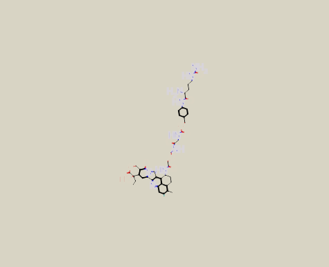 CC[C@@]1(O)C(=O)OCc2c1cc1n(c2=O)Cc2c-1nc1cc(F)c(C)c3c1c2[C@@H](NC(=O)COCNC(=O)CNC(=O)OCc1ccc(NC(=O)[C@@H](N)CCCNC(N)=O)cc1)CC3